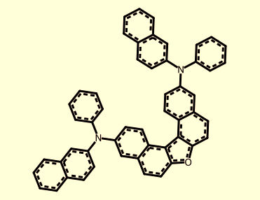 c1ccc(N(c2ccc3ccccc3c2)c2ccc3c(ccc4oc5ccc6cc(N(c7ccccc7)c7ccc8ccccc8c7)ccc6c5c43)c2)cc1